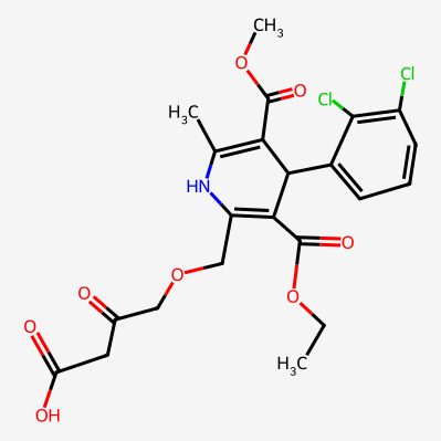 CCOC(=O)C1=C(COCC(=O)CC(=O)O)NC(C)=C(C(=O)OC)C1c1cccc(Cl)c1Cl